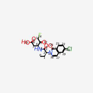 CC[C@@H](C(=O)NC(CC(=O)O)C(=O)CF)n1ccc2cc(Cl)ccc2c1=O